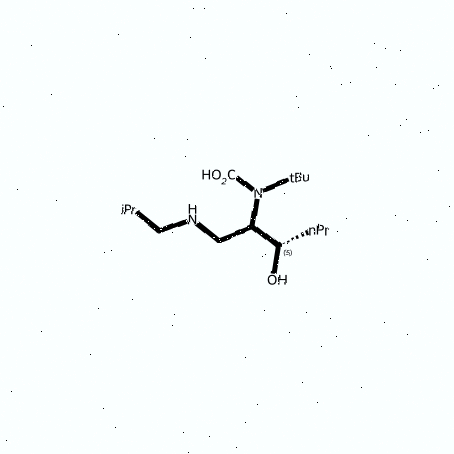 CCC[C@H](O)C(CNCC(C)C)N(C(=O)O)C(C)(C)C